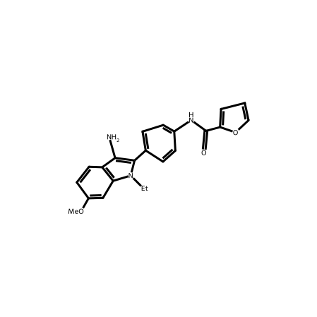 CCn1c(-c2ccc(NC(=O)c3ccco3)cc2)c(N)c2ccc(OC)cc21